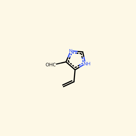 C=Cc1[nH]cnc1C=O